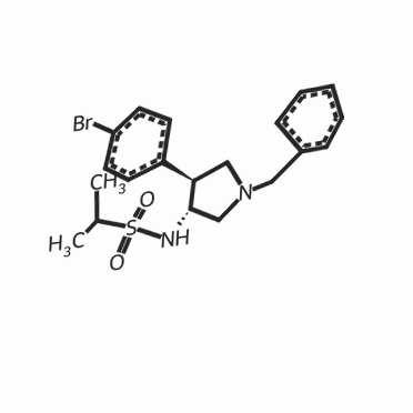 CC(C)S(=O)(=O)N[C@H]1CN(Cc2ccccc2)C[C@@H]1c1ccc(Br)cc1